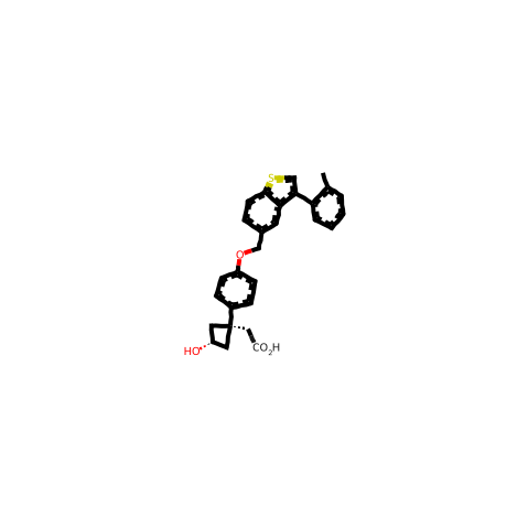 Cc1ccccc1-c1csc2ccc(COc3ccc([C@]4(CC(=O)O)C[C@@H](O)C4)cc3)cc12